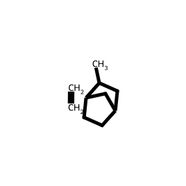 C=C.CC1CC2CCC1C2